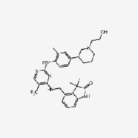 Cc1cc(C2CCCN(CCO)C2)ccc1Nc1ncc(C(F)(F)F)c(NCc2cccc3c2C(C)(C)C(=O)N3)n1